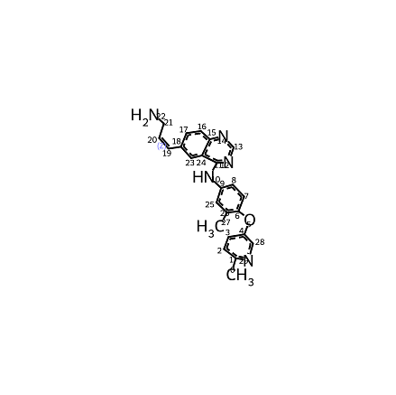 Cc1ccc(Oc2ccc(Nc3ncnc4ccc(/C=C\CN)cc34)cc2C)cn1